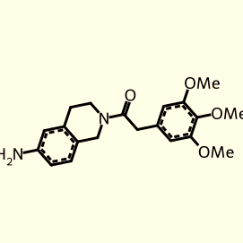 COc1cc(CC(=O)N2CCc3cc(N)ccc3C2)cc(OC)c1OC